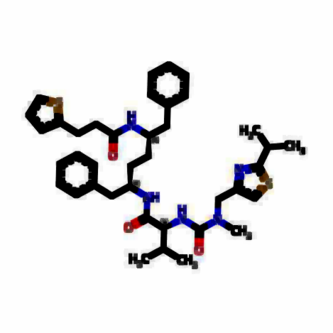 CC(C)c1nc(CN(C)C(=O)N[C@H](C(=O)N[C@H](CC[C@H](Cc2ccccc2)NC(=O)CCc2cccs2)Cc2ccccc2)C(C)C)cs1